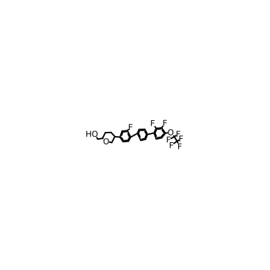 OCC1CCC(c2ccc(-c3ccc(-c4ccc(OC(F)(F)C(F)(F)F)c(F)c4F)cc3)c(F)c2)CO1